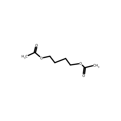 CC(=O)O[CH]CCCOC(C)=O